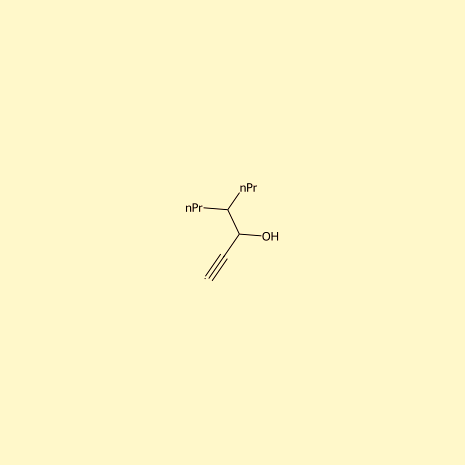 [C]#CC(O)C(CCC)CCC